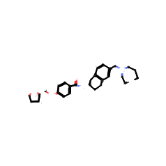 O=C(N[C@H]1CCc2cc(CN3CCCCCC3)ccc2C1)c1ccc(OC[C@H]2CCCO2)cc1